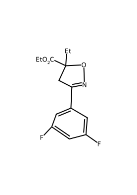 CCOC(=O)C1(CC)CC(c2cc(F)cc(F)c2)=NO1